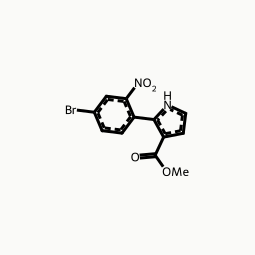 COC(=O)c1cc[nH]c1-c1ccc(Br)cc1[N+](=O)[O-]